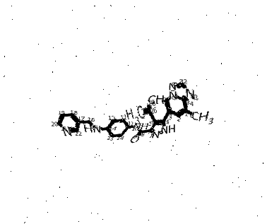 Cc1cc(-c2[nH]nc(C(=O)NC3CCC(NCc4cccnc4)CC3)c2C(C)C)cn2ncnc12